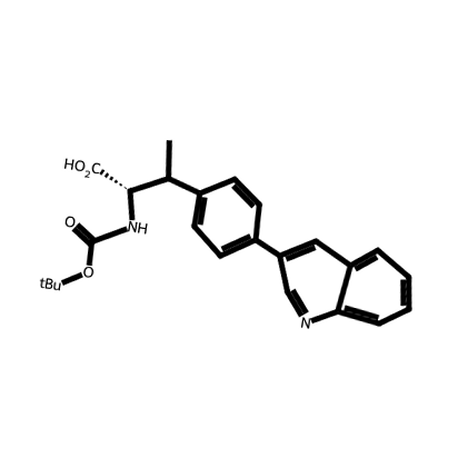 CC(c1ccc(-c2cnc3ccccc3c2)cc1)[C@H](NC(=O)OC(C)(C)C)C(=O)O